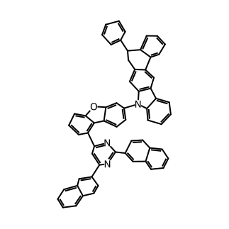 c1ccc(C2Cc3cc4c(cc3-c3ccccc32)c2ccccc2n4-c2ccc3c(c2)oc2cccc(-c4cc(-c5ccc6ccccc6c5)nc(-c5ccc6ccccc6c5)n4)c23)cc1